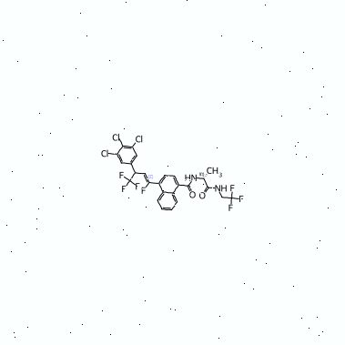 C[C@@H](NC(=O)c1ccc(/C(F)=C/C(c2cc(Cl)c(Cl)c(Cl)c2)C(F)(F)F)c2ccccc12)C(=O)NCC(F)(F)F